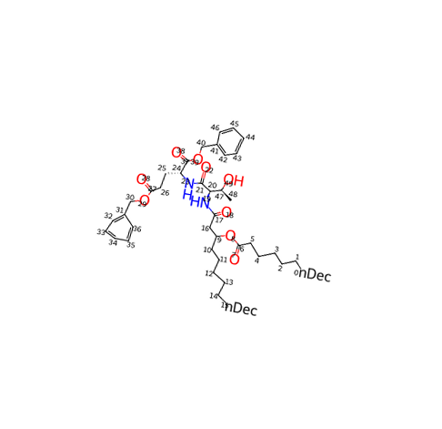 CCCCCCCCCCCCCCCC(=O)OC(CCCCCCCCCCCCCCC)CC(=O)N[C@@H](C(=O)N[C@H](CCC(=O)OCc1ccccc1)C(=O)OCc1ccccc1)[C@H](C)O